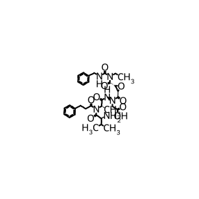 CCN(C(=O)NCc1ccccc1)C(=O)[C@@H]1O[C@H]1C(=O)N(CC(=O)O)NC(=O)[C@H](C)N(C(=O)CCc1ccccc1)C(=O)[C@@H](N)C(C)C